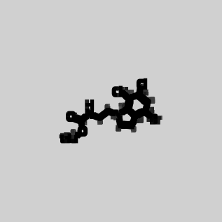 CC(C)(C)OC(=O)NCCn1ccc2c(Br)cc(Cl)c(Cl)c21